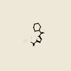 O=C(O)c1ccc(C(=O)C2CCCCC2)[nH]1